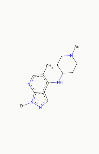 CCn1ncc2c(NC3CCN(C(C)=O)CC3)c(C)cnc21